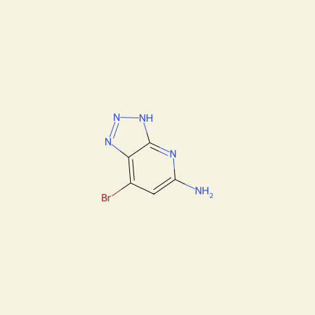 Nc1cc(Br)c2nn[nH]c2n1